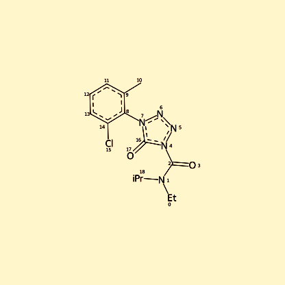 CCN(C(=O)n1nnn(-c2c(C)cccc2Cl)c1=O)C(C)C